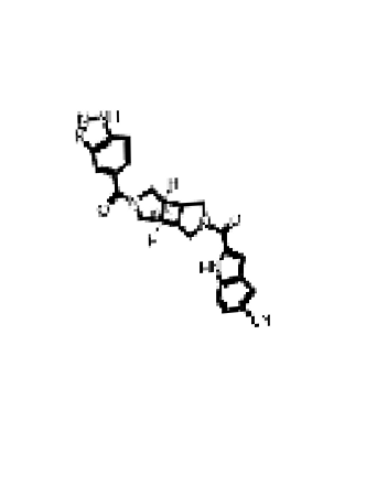 N#Cc1ccc2[nH]c(C(=O)N3CC4C(C3)[C@@H]3CN(C(=O)c5ccc6[nH]nnc6c5)C[C@H]43)cc2c1